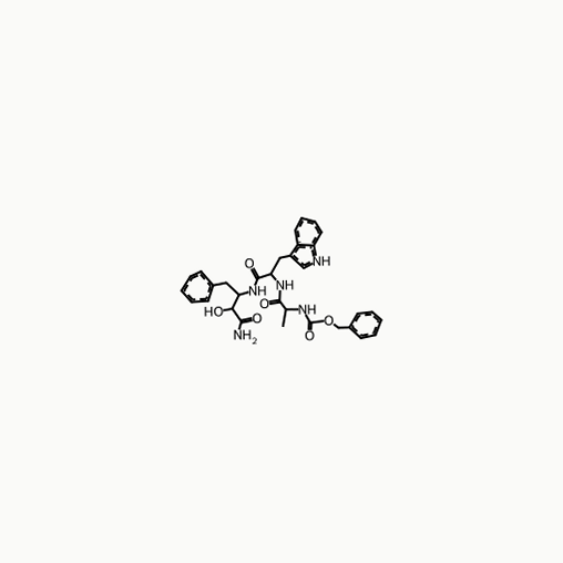 CC(NC(=O)OCc1ccccc1)C(=O)NC(Cc1c[nH]c2ccccc12)C(=O)NC(Cc1ccccc1)C(O)C(N)=O